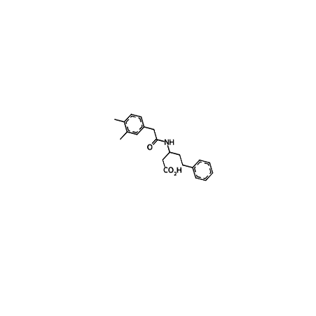 Cc1ccc(CC(=O)NC(CCc2ccccc2)CC(=O)O)cc1C